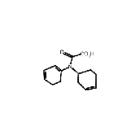 O=C(O)C(=O)N(C1=CC=CCC1)[C@@H]1CC=CCC1